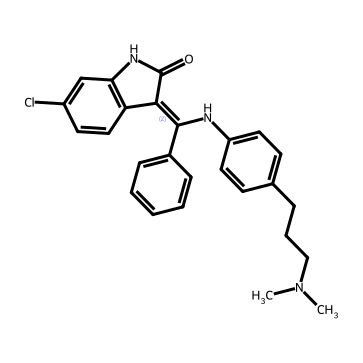 CN(C)CCCc1ccc(N/C(=C2\C(=O)Nc3cc(Cl)ccc32)c2ccccc2)cc1